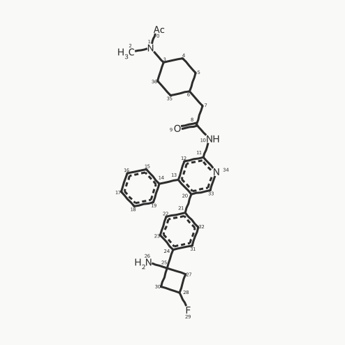 CC(=O)N(C)C1CCC(CC(=O)Nc2cc(-c3ccccc3)c(-c3ccc(C4(N)CC(F)C4)cc3)cn2)CC1